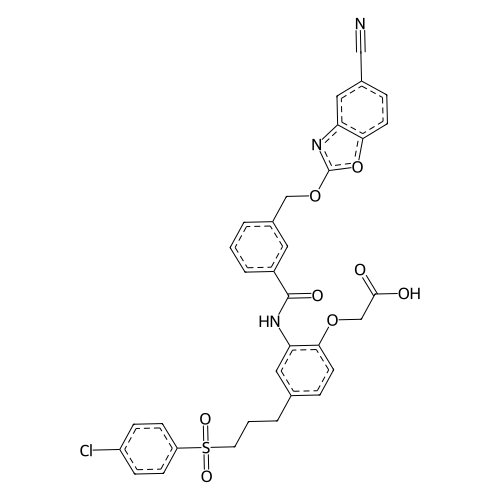 N#Cc1ccc2oc(OCc3cccc(C(=O)Nc4cc(CCCS(=O)(=O)c5ccc(Cl)cc5)ccc4OCC(=O)O)c3)nc2c1